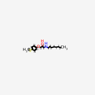 CCCCCCCCNCC(O)COc1ccc(SC)cc1